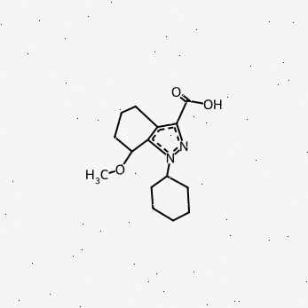 COC1CCCc2c(C(=O)O)nn(C3CCCCC3)c21